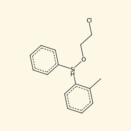 Cc1ccccc1[SiH](OCCCl)c1ccccc1